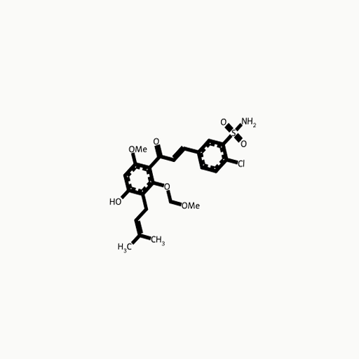 COCOc1c(CC=C(C)C)c(O)cc(OC)c1C(=O)C=Cc1ccc(Cl)c(S(N)(=O)=O)c1